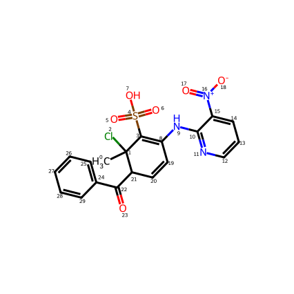 CC1(Cl)C(S(=O)(=O)O)=C(Nc2ncccc2[N+](=O)[O-])C=CC1C(=O)c1ccccc1